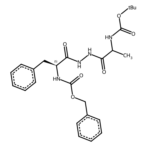 CC(NC(=O)OC(C)(C)C)C(=O)NNC(=O)[C@H](Cc1ccccc1)NC(=O)OCc1ccccc1